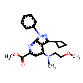 COCCN(C)c1cc(C(=O)OC)nc2c1c(C1CCC1)nn2-c1ccccc1